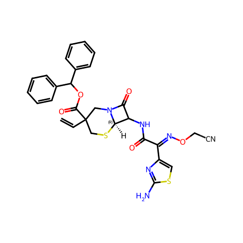 C=CC1(C(=O)OC(c2ccccc2)c2ccccc2)CS[C@@H]2C(NC(=O)C(=NOCC#N)c3csc(N)n3)C(=O)N2C1